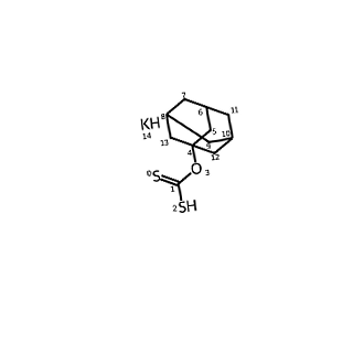 S=C(S)OC12CC3CC(CC(C3)C1)C2.[KH]